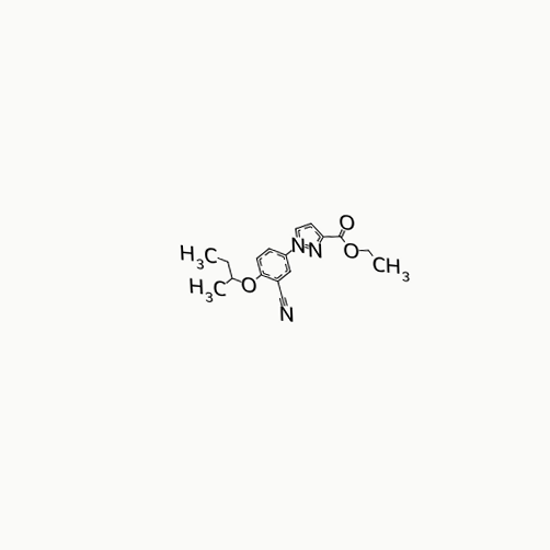 CCOC(=O)c1ccn(-c2ccc(OC(C)CC)c(C#N)c2)n1